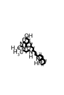 CCCC(=O)NC(CCC[C@H](CC(=O)O)c1cnc(C)nc1)CCc1ccc2c(n1)NCCC2